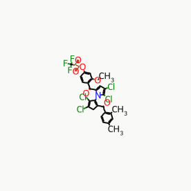 COc1cc(OS(=O)(=O)C(F)(F)F)ccc1C(=O)c1cc(Cl)c(Cl)n1C1=C(C(=O)c2ccc(C)cc2C)CC(Cl)=C1Cl